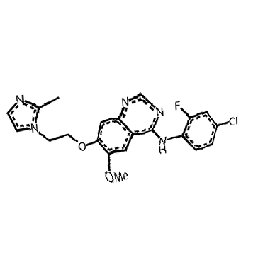 COc1cc2c(Nc3ccc(Cl)cc3F)ncnc2cc1OCCn1ccnc1C